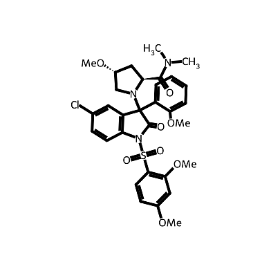 COc1ccc(S(=O)(=O)N2C(=O)C(c3ccccc3OC)(N3C[C@H](OC)C[C@H]3C(=O)N(C)C)c3cc(Cl)ccc32)c(OC)c1